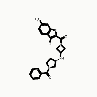 O=C(c1ccccc1)N1CC[C@H](NC2CN(C(=O)c3sc4cc(C(F)(F)F)ccc4c3Cl)C2)C1